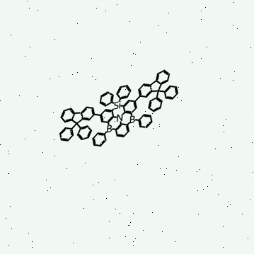 c1ccc(B2c3cccc4c3N3c5c2cc(-c2ccc6c(c2)C(c2ccccc2)(c2ccccc2)c2ccccc2-6)cc5[Si](c2ccccc2)(c2ccccc2)c2cc(-c5ccc6c(c5)C(c5ccccc5)(c5ccccc5)c5ccccc5-6)cc(c23)B4c2ccccc2)cc1